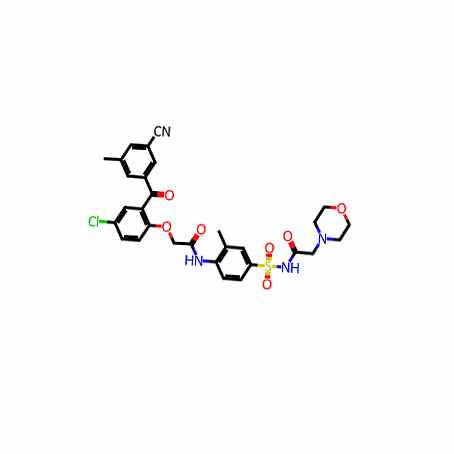 Cc1cc(C#N)cc(C(=O)c2cc(Cl)ccc2OCC(=O)Nc2ccc(S(=O)(=O)NC(=O)CN3CCOCC3)cc2C)c1